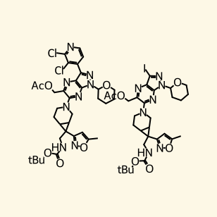 CC(=O)OCc1nc2c(-c3ccnc(Cl)c3Cl)nn(C3CCCCO3)c2nc1N1CCC2C(C1)C2(CNC(=O)OC(C)(C)C)c1cc(C)on1.CC(=O)OCc1nc2c(I)nn(C3CCCCO3)c2nc1N1CCC2C(C1)C2(CNC(=O)OC(C)(C)C)c1cc(C)on1